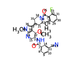 COc1c(NC(=O)c2cccc(C#N)c2)cnc2c1c(C1CCN(C(=O)c3c(C)cccc3F)CC1)cn2C